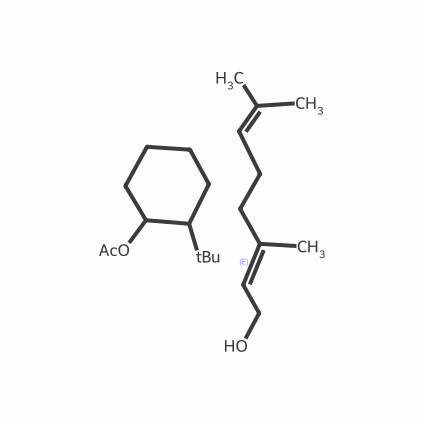 CC(=O)OC1CCCCC1C(C)(C)C.CC(C)=CCC/C(C)=C/CO